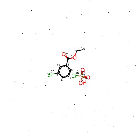 CCOC(=O)c1cccc(Br)c1.O=S(=O)(O)Cl